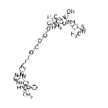 C=CC(=O)Nc1cc(-c2nn(C3CCN(CCCCCCOCCOCCOCCOCCOCC(=O)NCC(C)(C)CC(=O)N4C[C@H](O)C[C@H]4C(=O)NCc4ccc(-c5scnc5C)cc4)CC3)c3ncnc(N)c23)ccc1Oc1ccccc1